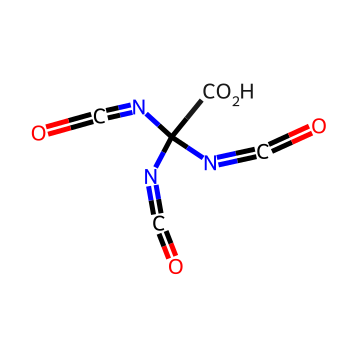 O=C=NC(N=C=O)(N=C=O)C(=O)O